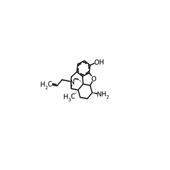 C=CCN1CC[C@]23c4c5ccc(O)c4OC2[C@@H](N)CC[C@@]3(C)C1C5